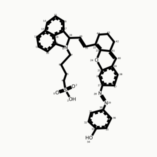 O=S(=O)(O)CCCCN1c2cccc3cccc(c23)C1/C=C/C1=C2Oc3cc(/N=N/c4ccc(O)cc4)ccc3C=C2CCC1